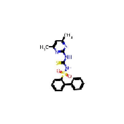 Cc1cc(C)nc(NC(=S)NS(=O)(=O)c2ccccc2-c2ccccc2)n1